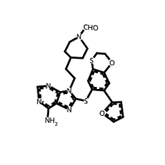 Nc1ncnc2c1nc(Sc1cc3c(cc1-c1ccco1)OCCS3)n2CCC1CCN(C=O)CC1